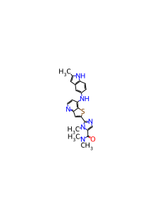 Cc1cc2cc(Nc3ccnc4cc(-c5ncc(C(=O)N(C)C)n5C)sc34)ccc2[nH]1